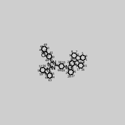 c1ccc2c(c1)-c1ccccc1C21c2ccccc2-c2c1ccc1c2c2ccccc2n1-c1ccc(-c2nc(-c3ccc4c(c3)oc3ccccc34)nc(-n3c4ccccc4c4ccccc43)n2)cc1